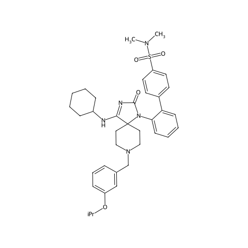 CC(C)Oc1cccc(CN2CCC3(CC2)C(NC2CCCCC2)=NC(=O)N3c2ccccc2-c2ccc(S(=O)(=O)N(C)C)cc2)c1